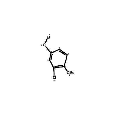 CCOc1ccc(OCC(C)C)c(Cl)c1